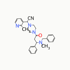 Cc1ncccc1C(C#N)N1CCN(C(=O)CC(c2ccccc2)N(C)Cc2ccccc2)CC1